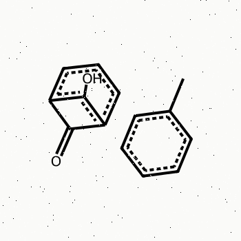 Cc1ccccc1.O=C1c2cccc1c2O